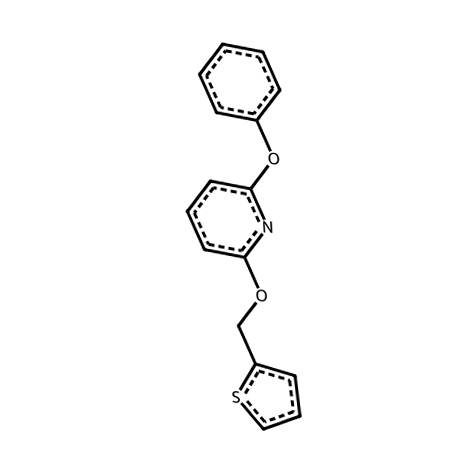 c1ccc(Oc2cccc(OCc3cccs3)n2)cc1